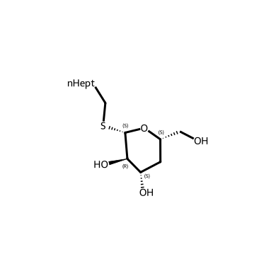 CCCCCCCCS[C@@H]1O[C@H](CO)C[C@H](O)[C@H]1O